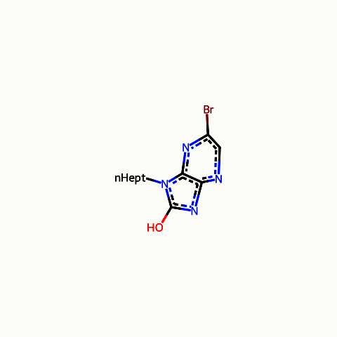 CCCCCCCn1c(O)nc2ncc(Br)nc21